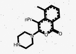 CCCc1c(N2CCNCC2)oc(=O)c2cccc(C)c12